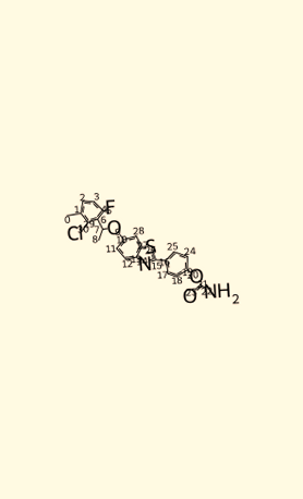 Cc1ccc(F)c(C(C)Oc2ccc3nc(-c4ccc(OC(N)=O)cc4)sc3c2)c1Cl